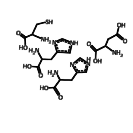 NC(CC(=O)O)C(=O)O.NC(CS)C(=O)O.NC(Cc1c[nH]cn1)C(=O)O.NC(Cc1c[nH]cn1)C(=O)O